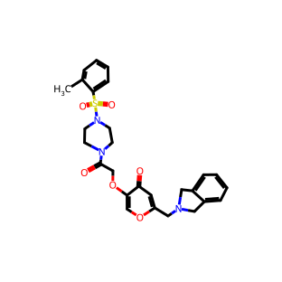 Cc1ccccc1S(=O)(=O)N1CCN(C(=O)COc2coc(CN3Cc4ccccc4C3)cc2=O)CC1